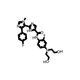 Cn1cnc(-c2ccc(F)cc2)c1-c1ncc(C(=O)Nc2ccc(N(CCO)CCO)cc2F)[nH]1